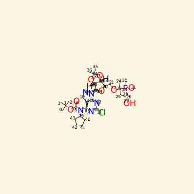 CC(C)(C)OC(=O)N(c1nc(Cl)nc2c1cnn2[C@@H]1O[C@H](COC(C)(CCO)P(C)(C)=O)[C@H]2OC(C)(C)O[C@H]21)C1CCCC1